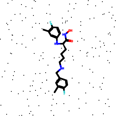 Cc1cc(CNCCCC[C@@H](Nc2ccc(F)c(C)c2)C(=O)NO)ccc1F